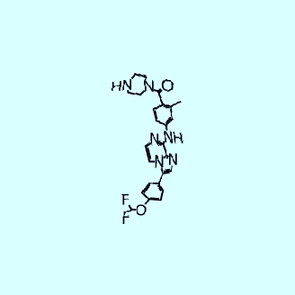 Cc1cc(Nc2nccn3c(-c4ccc(OC(F)F)cc4)cnc23)ccc1C(=O)N1CCNCC1